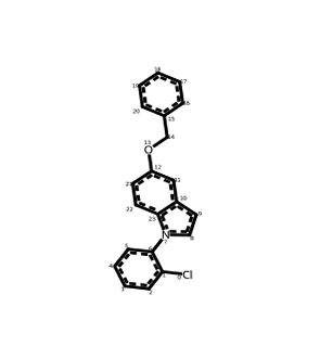 Clc1ccccc1-n1ccc2cc(OCc3ccccc3)ccc21